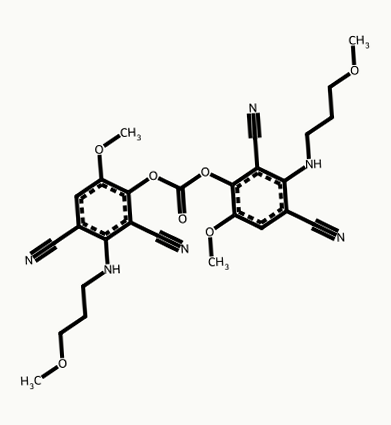 COCCCNc1c(C#N)cc(OC)c(OC(=O)Oc2c(OC)cc(C#N)c(NCCCOC)c2C#N)c1C#N